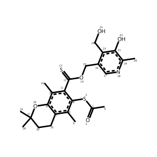 CC(=O)Sc1c(C)c2c(c(C)c1C(=S)OCc1cnc(C)c(O)c1CO)OC(C)(C)CC2